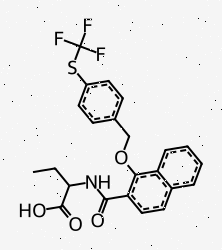 CCC(NC(=O)c1ccc2ccccc2c1OCc1ccc(SC(F)(F)F)cc1)C(=O)O